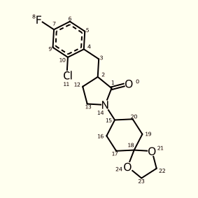 O=C1C(Cc2ccc(F)cc2Cl)CCN1C1CCC2(CC1)OCCO2